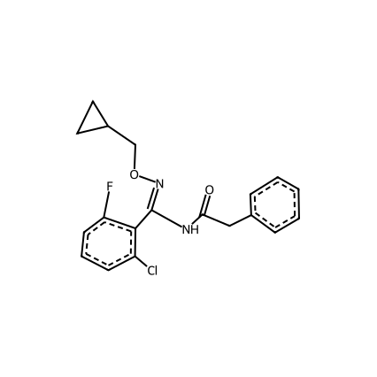 O=C(Cc1ccccc1)NC(=NOCC1CC1)c1c(F)cccc1Cl